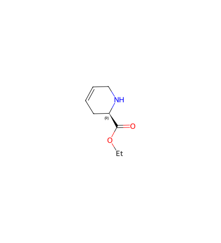 CCOC(=O)[C@H]1CC=CCN1